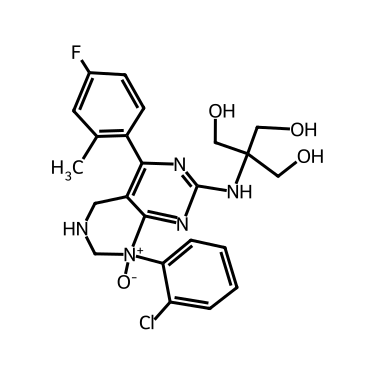 Cc1cc(F)ccc1-c1nc(NC(CO)(CO)CO)nc2c1CNC[N+]2([O-])c1ccccc1Cl